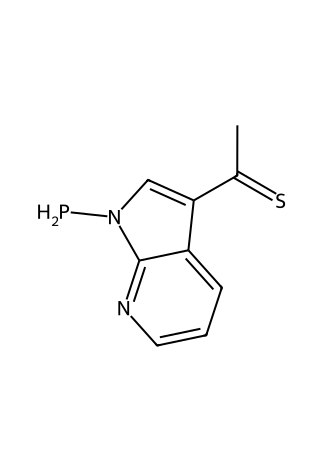 CC(=S)c1cn(P)c2ncccc12